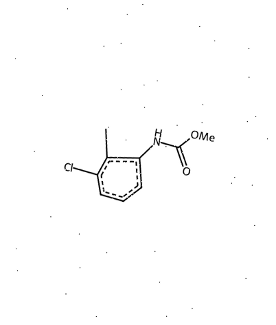 COC(=O)Nc1cccc(Cl)c1C